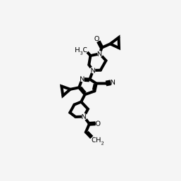 C=CC(=O)N1CCCC(c2cc(C#N)c(N3CCN(C(=O)C4CC4)C(C)C3)nc2C2CC2)C1